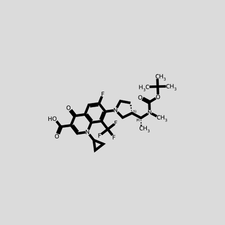 C[C@H]([C@H]1CCN(c2c(F)cc3c(=O)c(C(=O)O)cn(C4CC4)c3c2C(F)(F)F)C1)N(C)C(=O)OC(C)(C)C